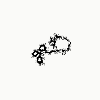 CC(C)[C@H]1NC(=O)COCCOCCNC(=O)C[C@@H](C=CCCSC(c2ccccc2)(c2ccccc2)c2ccccc2)OC1=O